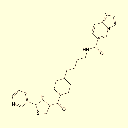 O=C(NCCCCC1CCN(C(=O)C2CSC(c3cccnc3)N2)CC1)c1ccc2nccn2c1